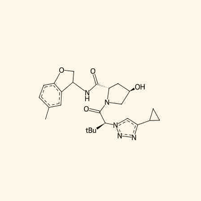 Cc1ccc2c(c1)C(NC(=O)[C@@H]1C[C@@H](O)CN1C(=O)[C@@H](n1cc(C3CC3)nn1)C(C)(C)C)CO2